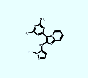 Cc1nc(N)nc(-c2c(Nc3ccnn3C(=O)O)nc3ccccn23)n1